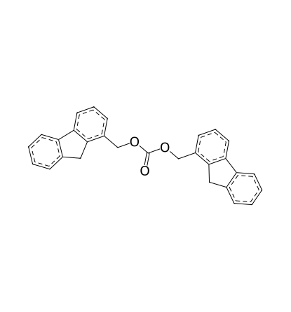 O=C(OCc1cccc2c1Cc1ccccc1-2)OCc1cccc2c1Cc1ccccc1-2